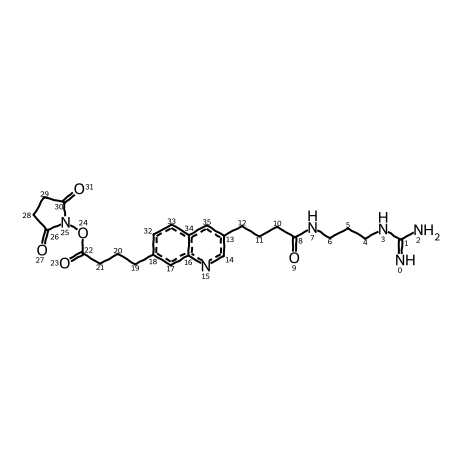 N=C(N)NCCCNC(=O)CCCc1cnc2cc(CCCC(=O)ON3C(=O)CCC3=O)ccc2c1